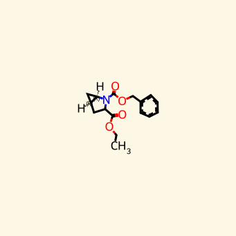 CCOC(=O)C1C[C@H]2C[C@H]2N1C(=O)OCc1ccccc1